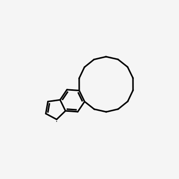 [CH]1C=Cc2cc3c(cc21)CCCCCCCCCCCC3